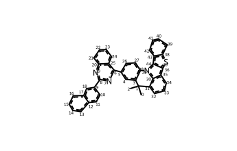 CC1(C)c2cc(-c3nc(-c4ccc5ccccc5c4)nc4ccccc34)ccc2-n2c3c1cccc3c1sc3ccccc3c12